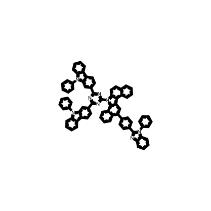 c1ccc(-n2c(-c3ccc(-c4cc5c6c7ccccc7ccc6n(-c6nc(-c7ccc8c9ccccc9n(-c9ccccc9)c8c7)nc(-c7ccc8c9ccccc9n(-c9ccccc9)c8c7)n6)c5c5ccccc45)cc3)nc3ccccc32)cc1